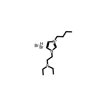 Br.CCCC[n+]1ccn(CCN(CC)CC)c1.[Br-]